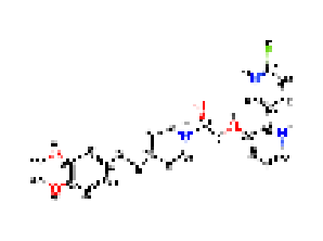 O=C(COc1cccnc1-c1ccc(F)nc1)N1CCC(CCc2ccc3c(c2)OCCO3)CC1